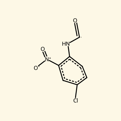 O=[C]Nc1ccc(Cl)cc1[N+](=O)[O-]